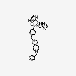 O=C(c1ccc(CN2CCC3(CCN(Cc4ccsc4)CC3)C2)cc1)N(Cc1ncc[nH]1)Cc1ncc[nH]1